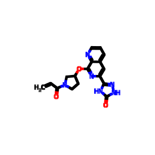 C=CC(=O)N1CCC(Oc2nc(-c3n[nH]c(=O)[nH]3)cc3cccnc23)C1